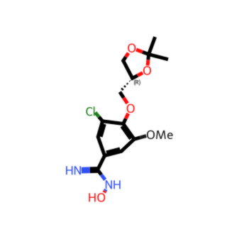 COc1cc(C(=N)NO)cc(Cl)c1OC[C@@H]1COC(C)(C)O1